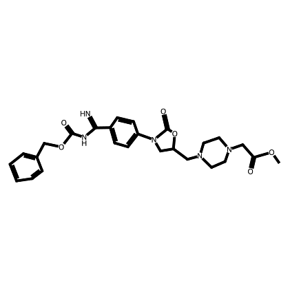 COC(=O)CN1CCN(CC2CN(c3ccc(C(=N)NC(=O)OCc4ccccc4)cc3)C(=O)O2)CC1